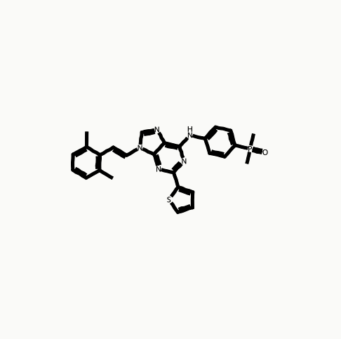 Cc1cccc(C)c1/C=C/n1cnc2c(Nc3ccc(P(C)(C)=O)cc3)nc(-c3cccs3)nc21